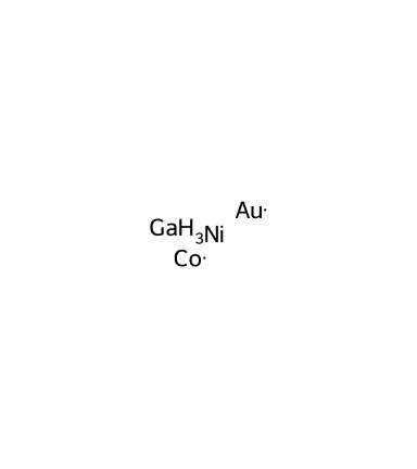 [Au].[Co].[GaH3].[Ni]